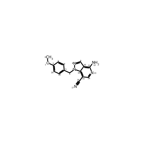 COc1ccc(Cn2ncc3c(N)ncc(C#N)c32)cc1